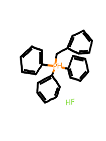 F.c1ccc(C[PH](c2ccccc2)(c2ccccc2)c2ccccc2)cc1